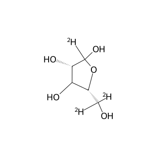 [2H]C([2H])(O)[C@H]1OC([2H])(O)[C@@H](O)C1O